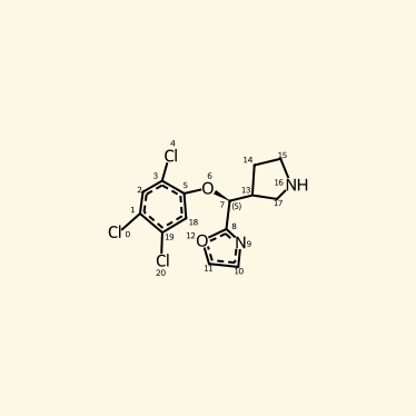 Clc1cc(Cl)c(O[C@H](c2ncco2)C2CCNC2)cc1Cl